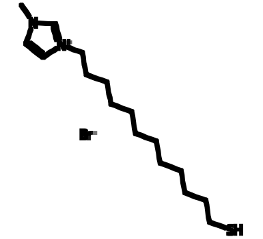 Cn1cc[n+](CCCCCCCCCCCCS)c1.[Br-]